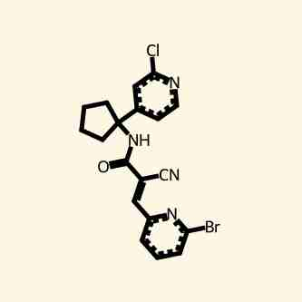 N#C/C(=C\c1cccc(Br)n1)C(=O)NC1(c2ccnc(Cl)c2)CCCC1